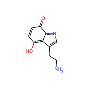 NCCC1=CN=C2C(=O)C=CC(O)=C12